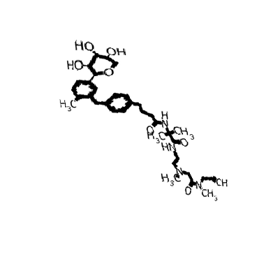 C#CCN(C)C(=O)CN(C)CCNC(=O)C(C)(C)NC(=O)CCCc1ccc(Cc2cc([C@@H]3OC[C@@H](O)[C@H](O)[C@H]3O)ccc2C)cc1